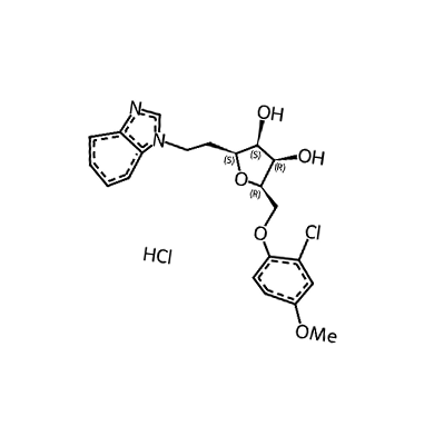 COc1ccc(OC[C@H]2O[C@@H](CCn3cnc4ccccc43)[C@@H](O)[C@H]2O)c(Cl)c1.Cl